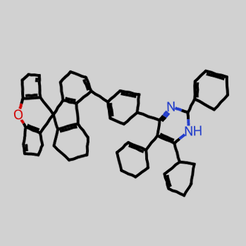 C1=CCCC(C2N=C(C3C=CC(C4=CCCC5=C4C4=C(CCCC4)C54C5=C(CCC=C5)OC5=C4CCC=C5)=CC3)C(C3=CCCCC3)=C(C3C=CCCC3)N2)=C1